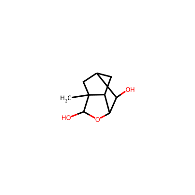 CC12CC3CC1C(OC2O)C3O